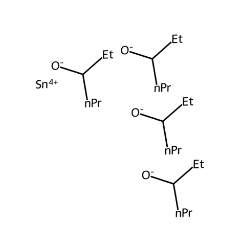 CCCC([O-])CC.CCCC([O-])CC.CCCC([O-])CC.CCCC([O-])CC.[Sn+4]